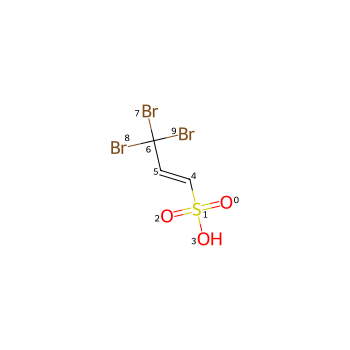 O=S(=O)(O)C=CC(Br)(Br)Br